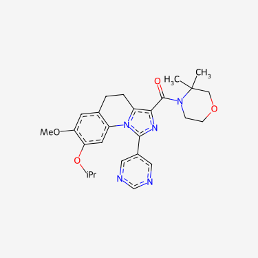 COc1cc2c(cc1OC(C)C)-n1c(-c3cncnc3)nc(C(=O)N3CCOCC3(C)C)c1CC2